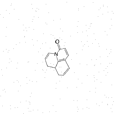 O=c1ccc2c3n1C=CCC3CC=C2